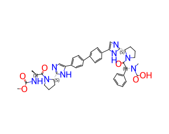 COC(=O)N[C@@H](C)C(=O)N1CCC[C@H]1c1ncc(-c2ccc(-c3ccc(-c4cnc([C@@H]5CCCN5C(=O)[C@@H](c5ccccc5)N(C)C(=O)O)[nH]4)cc3)cc2)[nH]1